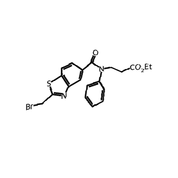 CCOC(=O)CCN(C(=O)c1ccc2sc(CBr)nc2c1)c1ccccc1